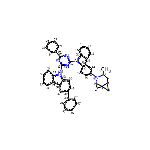 CC1CC2CC23CC3N1c1ccc2c(c1)c1ccccc1n2-c1nc(-c2ccccc2)nc(-n2c3ccccc3c3cc(-c4ccccc4)ccc32)n1